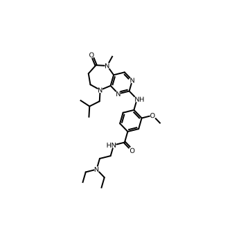 CCN(CC)CCNC(=O)c1ccc(Nc2ncc3c(n2)N(CC(C)C)CCC(=O)N3C)c(OC)c1